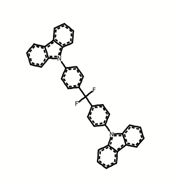 FC(F)(c1ccc(-n2c3ccccc3c3ccccc32)cc1)c1ccc(-n2c3ccccc3c3ccccc32)cc1